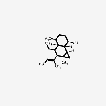 C/C=C(\C)[C@H]1[C@@H](CO)[C@H]2[C@@H]([C@H]3C[C@]31C)[C@@H](O)CC[C@@H]2C